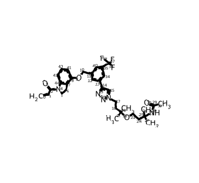 C=CC(=O)N1CCc2c(OCc3cc(-c4cn(CCC(C)(C)OCCC(C)(C)NC(C)=O)nn4)cc(C(F)(F)F)c3)cccc21